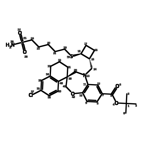 CC(C)(C)OC(=O)c1ccc2c(c1)N(C[C@H]1CC[C@@H]1SCCCCCS(N)(=O)=O)C[C@@]1(CCCc3cc(Cl)ccc31)CO2